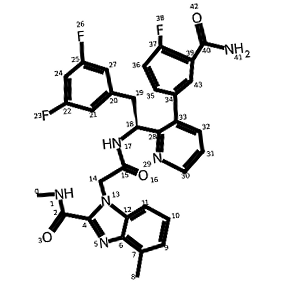 CNC(=O)c1nc2c(C)cccc2n1CC(=O)N[C@@H](Cc1cc(F)cc(F)c1)c1ncccc1-c1ccc(F)c(C(N)=O)c1